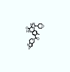 Cc1cc2c(cc1C(=O)N1CCc3nn(C)cc3C1)[nH]c(=O)c1nnc(C3CCOCC3)n12